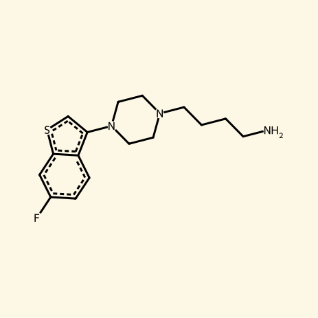 NCCCCN1CCN(c2csc3cc(F)ccc23)CC1